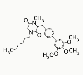 CCCCCCN1CC(=O)N(C)C(Cc2ccc(-c3cc(OC)c(OC)c(OC)c3)cc2)C1=O